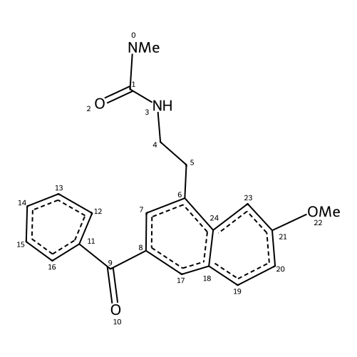 CNC(=O)NCCc1cc(C(=O)c2ccccc2)cc2ccc(OC)cc12